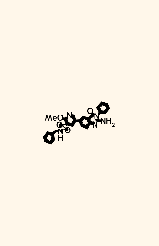 COc1ncc(-c2ccc3nc(N)n(-c4ccccc4)c(=O)c3c2)cc1S(=O)(=O)NCc1ccccc1